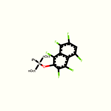 CCCCCCCC[Si](CCCCCCCC)(Oc1c(F)c(F)c2c(F)[c]c(F)c(F)c2c1F)C(C)C